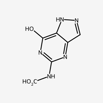 O=C(O)Nc1nc(O)c2[nH]ncc2n1